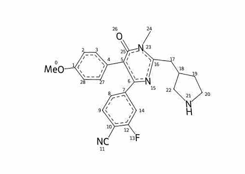 COc1ccc(-c2c(-c3ccc(C#N)c(F)c3)nc(CC3CCNC3)n(C)c2=O)cc1